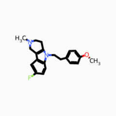 COc1ccc(CCn2c3c(c4cc(F)ccc42)CN(C)CC3)cc1